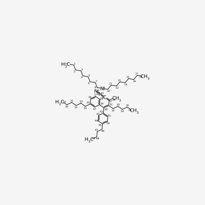 CCCCCCCC[CH2][Ni][CH2]CCCCCCCC.CCCCCCc1cccc(C(=C(CCCCC)C(C)=C=[N+]=[N-])c2ccc(CCCC)cc2)c1